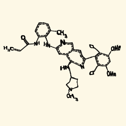 C=CC(=O)Nc1cccc(C)c1Nc1cc2c(NC3CCN(C)C3)nc(-c3c(Cl)c(OC)cc(OC)c3Cl)cc2cn1